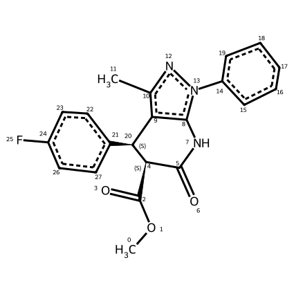 COC(=O)[C@@H]1C(=O)Nc2c(c(C)nn2-c2ccccc2)[C@@H]1c1ccc(F)cc1